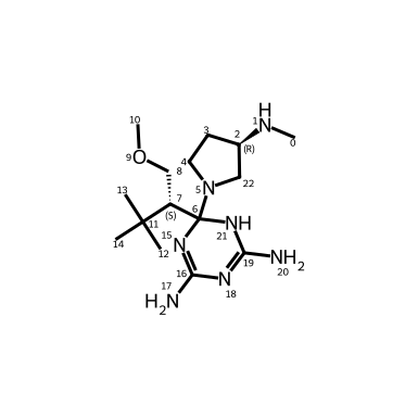 CN[C@@H]1CCN(C2([C@@H](COC)C(C)(C)C)N=C(N)N=C(N)N2)C1